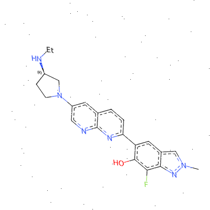 CCN[C@@H]1CCN(c2cnc3nc(-c4cc5cn(C)nc5c(F)c4O)ccc3c2)C1